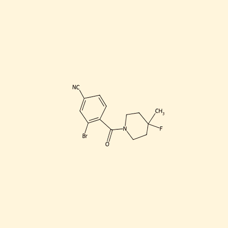 CC1(F)CCN(C(=O)c2ccc(C#N)cc2Br)CC1